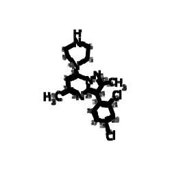 Cc1cc(N2CCNCC2)n2nc(C)c(-c3ccc(Cl)cc3Cl)c2n1